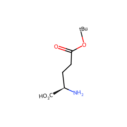 CC(C)(C)OC(=O)CC[C@@H](N)C(=O)O